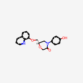 O=C1CO[C@H](COc2cccc3cccnc23)CN1c1ccc(O)cc1